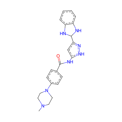 CN1CCN(c2ccc(C(=O)Nc3cc(C4Nc5ccccc5N4)n[nH]3)cc2)CC1